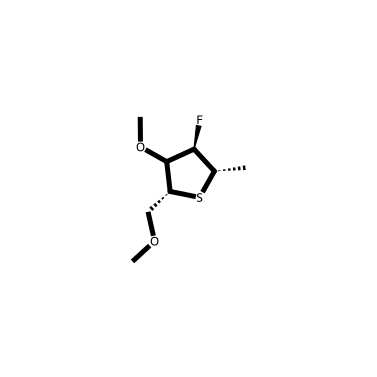 COC[C@H]1S[C@@H](C)[C@H](F)C1OC